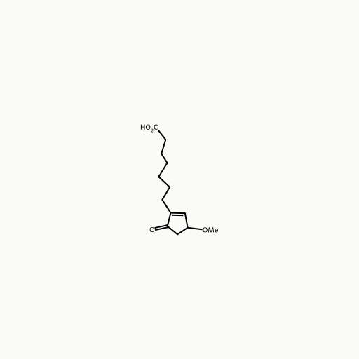 COC1C=C(CCCCCCC(=O)O)C(=O)C1